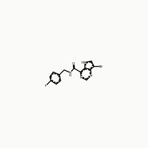 O=C(NCc1ccc(F)cc1)c1ncnc2c(Br)c[nH]c12